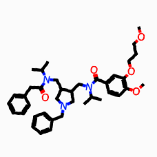 COCCCOc1cc(C(=O)N(CC2CN(Cc3ccccc3)CC2CN(C(=O)Cc2ccccc2)C(C)C)C(C)C)ccc1OC